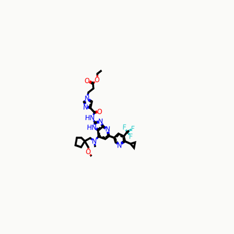 CCOC(=O)CCn1cnc(C(=O)Nc2nc3nc(-c4cnc(C5CC5)c(C(F)(F)F)c4)cc(N(C)CC4(COC)CCCC4)c3[nH]2)c1